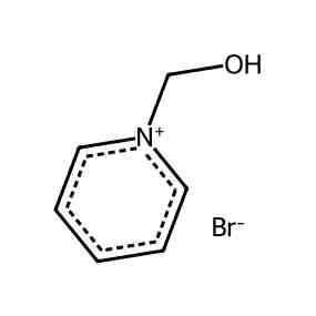 OC[n+]1ccccc1.[Br-]